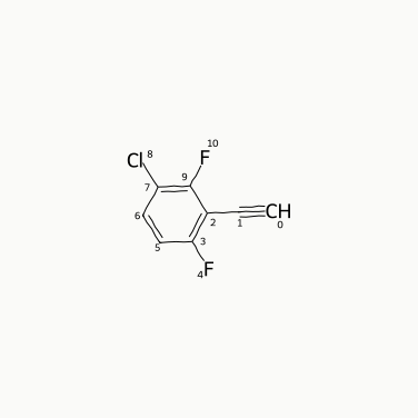 C#Cc1c(F)ccc(Cl)c1F